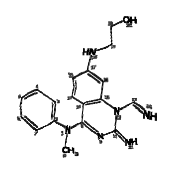 CN(c1ccccc1)c1nc(=N)n(C=N)c2cc(NCCO)ccc12